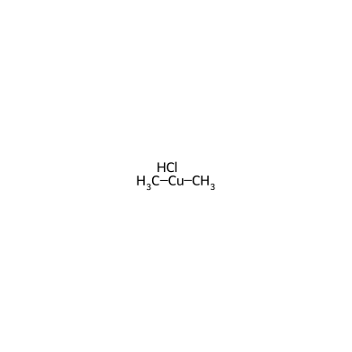 Cl.[CH3][Cu][CH3]